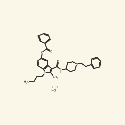 CCCCn1c(C)c(C(=O)NC2CCN(CCc3ccccc3)CC2)c2cc(OC(=O)c3ccccc3)ccc21.Cl.O